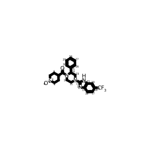 O=C(C1CC[S+]([O-])CC1)N1CCN(c2nc3ccc(C(F)(F)F)cc3[nH]2)CC1c1ccccc1